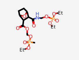 CCOP(C)(=O)OCOC(=O)C1C2CCC(O2)C1C(=O)NCOP(=O)(OCC)OCC